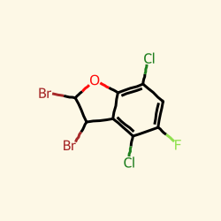 Fc1cc(Cl)c2c(c1Cl)C(Br)C(Br)O2